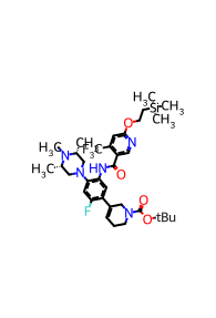 C[C@@H]1CN(c2cc(F)c(C3=CCCN(C(=O)OC(C)(C)C)C3)cc2NC(=O)c2cnc(OCC[Si](C)(C)C)cc2C(F)(F)F)C[C@H](C)N1C